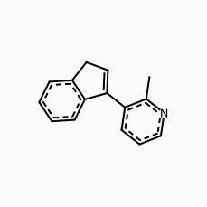 Cc1ncccc1C1=CCc2ccccc21